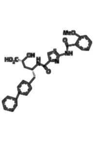 COc1ccccc1C(=O)Nc1nc(C(=O)N[C@H](Cc2ccc(-c3ccccc3)cc2)C[C@@H](O)C(=O)O)cs1